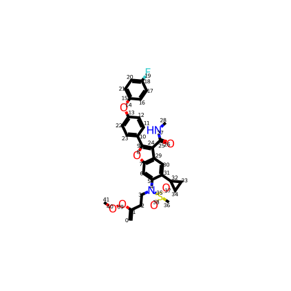 C=C(CCN(c1cc2oc(-c3ccc(Oc4ccc(F)cc4)cc3)c(C(=O)NC)c2cc1C1CC1)S(C)(=O)=O)OOC